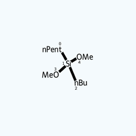 CCCCC[Si](CCCC)(OC)OC